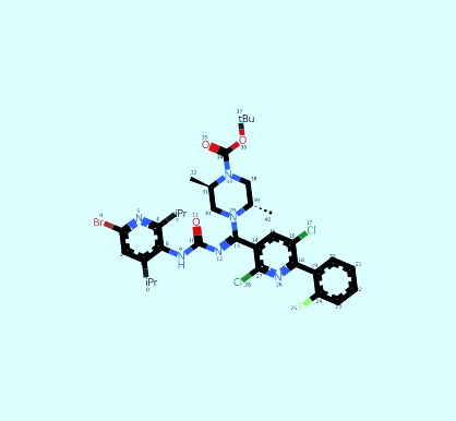 CC(C)c1cc(Br)nc(C(C)C)c1NC(=O)N=C(c1cc(Cl)c(-c2ccccc2F)nc1Cl)N1C[C@@H](C)N(C(=O)OC(C)(C)C)C[C@@H]1C